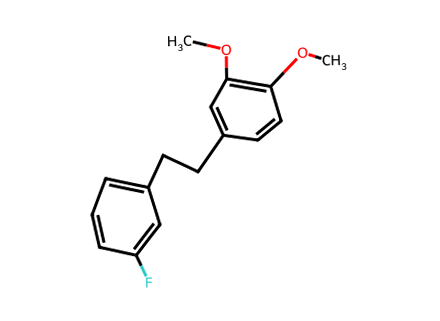 COc1ccc(CCc2cccc(F)c2)cc1OC